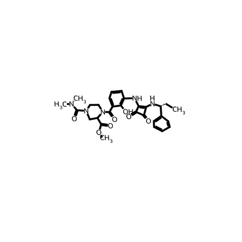 CC[C@@H](Nc1c(Nc2cccc(C(=O)N3CCN(C(=O)N(C)C)CC3C(=O)OC)c2O)c(=O)c1=O)c1ccccc1